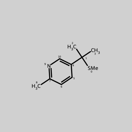 CSC(C)(C)c1ccc(C)nc1